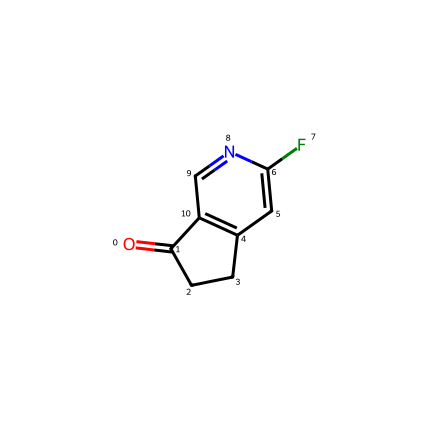 O=C1CCc2cc(F)ncc21